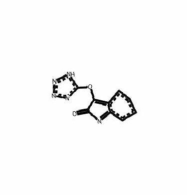 O=C1N=c2ccccc2=C1Oc1nnn[nH]1